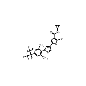 Cc1cc(C(F)(C(F)(F)F)C(F)(F)F)cc(C)c1-n1cc(-c2cc(C(=O)NC3CC3)c(Br)s2)cn1